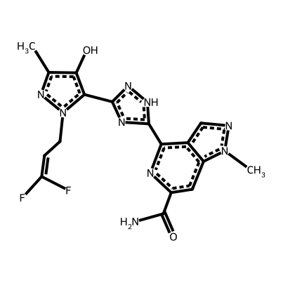 Cc1nn(CC=C(F)F)c(-c2n[nH]c(-c3nc(C(N)=O)cc4c3cnn4C)n2)c1O